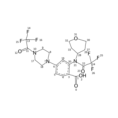 O=C(O)c1ccc(N2CCN(C(=O)C(F)(F)F)CC2)cc1N(C(=O)C(F)(F)F)C1CCOCC1